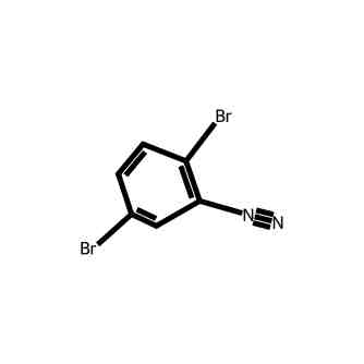 N#[N+]c1cc(Br)ccc1Br